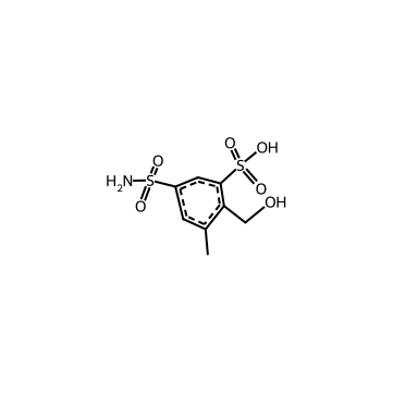 Cc1cc(S(N)(=O)=O)cc(S(=O)(=O)O)c1CO